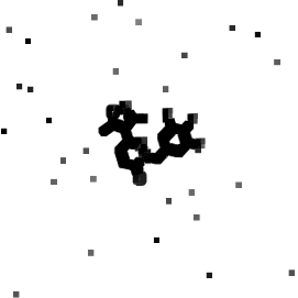 Cc1noc(C)c1-c1ccc(=O)n(Cc2cc(F)c(F)c(F)c2)n1